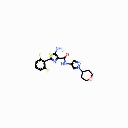 Nc1sc(-c2c(F)cccc2F)nc1C(=O)Nc1cnn(C2CCOCC2)c1